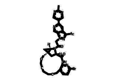 CC(=O)c1nn(CC(=O)N2[C@H]3C[C@@]4(COCCCCCCc5ccc(Br)nc5NC3=O)C[C@@H]24)c2cnc(-c3cnc(C)nc3)cc12